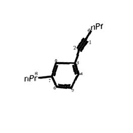 CCCC#Cc1cccc(CCC)c1